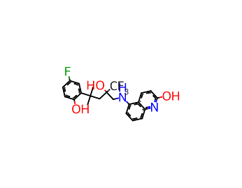 CC(C)(CC(O)(CNc1cccc2nc(O)ccc12)C(F)(F)F)c1cc(F)ccc1O